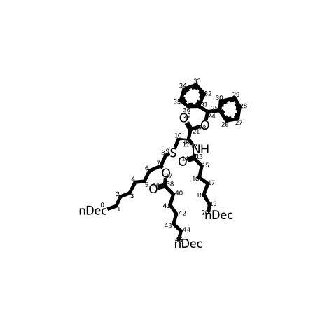 CCCCCCCCCCCCCCCCC(CSC[C@H](NC(=O)CCCCCCCCCCCCCCC)C(=O)OC(c1ccccc1)c1ccccc1)OC(=O)CCCCCCCCCCCCCCC